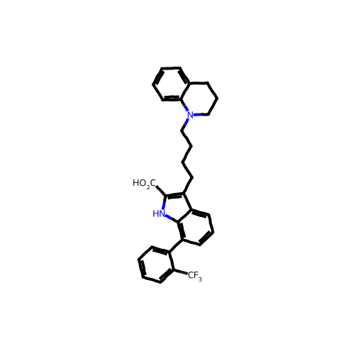 O=C(O)c1[nH]c2c(-c3ccccc3C(F)(F)F)cccc2c1CCCCN1CCCc2ccccc21